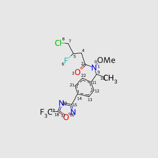 CON(C(=O)CC(F)CCl)C(C)c1ccc(-c2noc(C(F)(F)F)n2)cc1